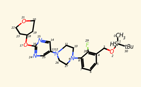 C[SiH](OCc1cccc(N2CCN(c3cnc(OC4CCOCC4)nc3)CC2)c1F)C(C)(C)C